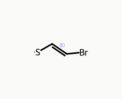 [S]/C=C/Br